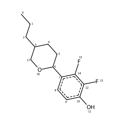 CCCC1CCC(c2ccc(O)c(F)c2F)OC1